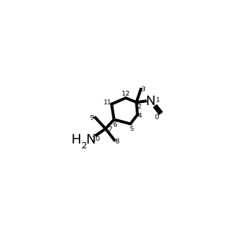 C=NC1(C)CCC(C(C)(C)N)CC1